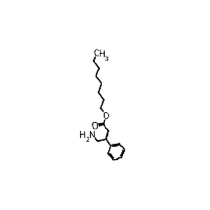 CCCCCCCCOC(=O)CC(CN)c1ccccc1